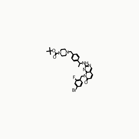 CC(Nc1ncc2ccc(=O)n(Cc3ccc(Br)cc3F)c2n1)c1ccc(CN2CCN(C(=O)OC(C)(C)C)CC2)cc1